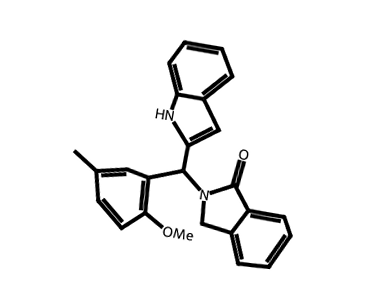 COc1ccc(C)cc1C(c1cc2ccccc2[nH]1)N1Cc2ccccc2C1=O